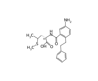 CSC(C)C[C@H](NC(=O)c1cc(N)ccc1CCc1ccccc1)C(=O)O